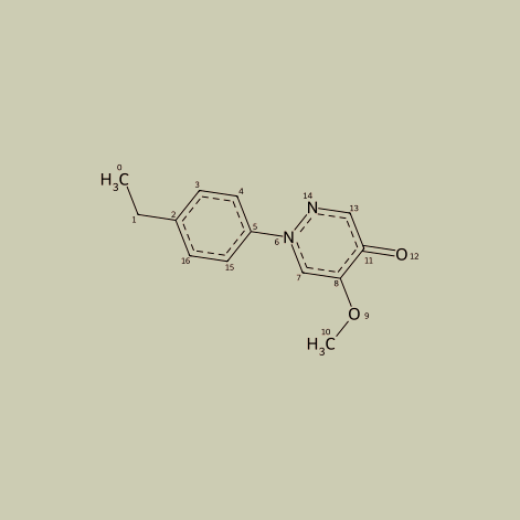 CCc1ccc(-n2cc(OC)c(=O)cn2)cc1